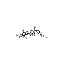 CCO[C@H]1CC[C@@H](Nc2ncc3c(-c4ccc5c(c4)OC(C)(C)CC5=O)c[nH]c3n2)CC1